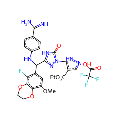 CCOC(=O)c1cn[nH]c1-n1nc(C(Nc2ccc(C(=N)N)cc2)c2cc(OC)c3c(c2F)OCCO3)[nH]c1=O.O=C(O)C(F)(F)F